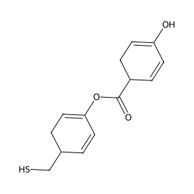 O=C(OC1=CCC(CS)C=C1)C1C=CC(O)=CC1